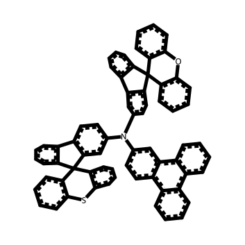 c1ccc2c(c1)Oc1ccccc1C21c2ccccc2-c2cc(N(c3ccc4c(c3)C3(c5ccccc5Sc5ccccc53)c3ccccc3-4)c3ccc4c5ccccc5c5ccccc5c4c3)ccc21